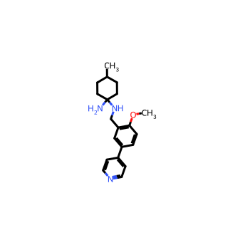 COc1ccc(-c2ccncc2)cc1CNC1(N)CCC(C)CC1